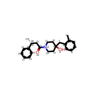 Cc1c[c]ccc1CC1(O)CCN(C(=O)C[C@@H](C)c2ccccc2)CC1